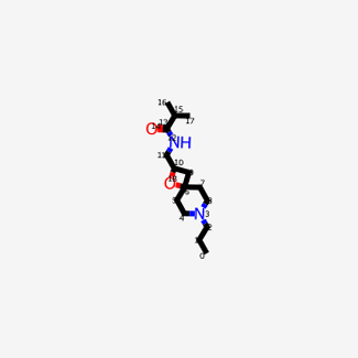 CCCN1CCC2(CC1)CC(CNC(=O)C(C)C)O2